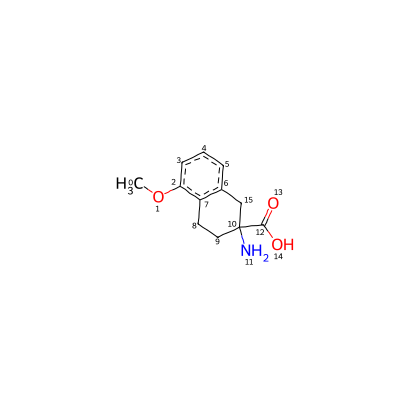 COc1cccc2c1CCC(N)(C(=O)O)C2